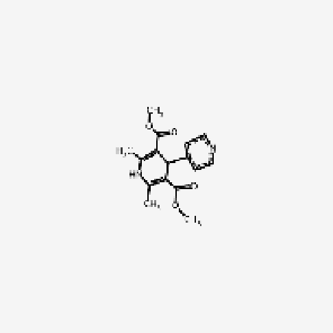 COC(=O)C1=C(C)NC(C)=C(C(=O)OC)C1c1ccncc1